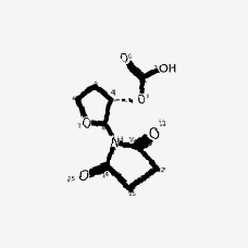 O=C(O)O[C@H]1CCOC1N1C(=O)CCC1=O